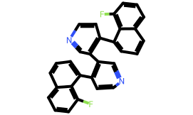 Fc1cccc2cccc(-c3ccncc3-c3cnccc3-c3cccc4cccc(F)c34)c12